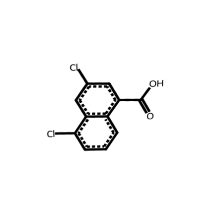 O=C(O)c1cc(Cl)cc2c(Cl)cccc12